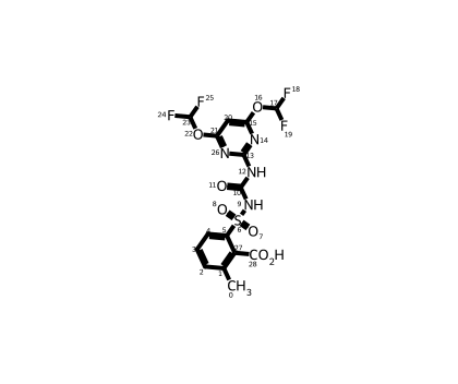 Cc1cccc(S(=O)(=O)NC(=O)Nc2nc(OC(F)F)cc(OC(F)F)n2)c1C(=O)O